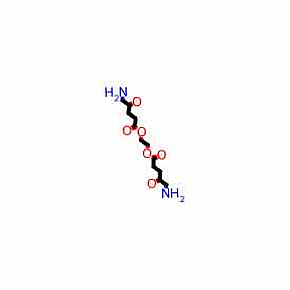 NCC(=O)CCC(=O)OCCOC(=O)CCC(=O)CN